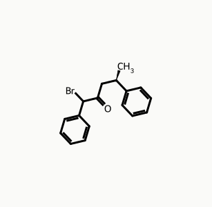 C[C@H](CC(=O)C(Br)c1ccccc1)c1ccccc1